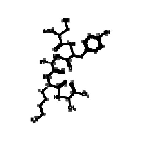 CC(=O)N[C@@H](CO)C(=O)N[C@@H](Cc1ccc(O)cc1)C(=O)N[C@H](C(=O)N[C@@H](CCCCN)C(=O)NC(C)C(=O)C(F)(F)F)C(C)C